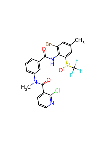 Cc1cc(Br)c(NC(=O)c2cccc(N(C)C(=O)c3cccnc3Cl)c2)c([S+]([O-])C(F)(F)F)c1